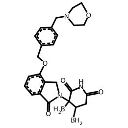 BC1CC(=O)NC(=O)C1(B)N1Cc2c(OCc3ccc(CN4CCOCC4)cc3)cccc2C1=O